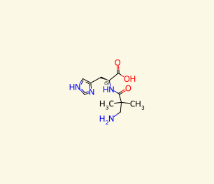 CC(C)(CN)C(=O)N[C@@H](Cc1c[nH]cn1)C(=O)O